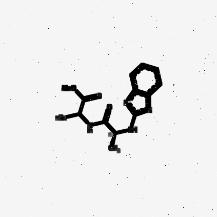 CCCCC(NC(=O)[C@H](C)Nc1nc2ccccc2s1)C(=O)OC